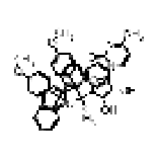 COc1ccc(C(OC(C)([C@H]2O[C@@H](n3ccc(N)nc3=O)[C@H](O)[C@@H]2O)C(c2ccccc2)(c2ccccc2)c2ccc(OC)cc2)(c2ccccc2)c2ccccc2)cc1